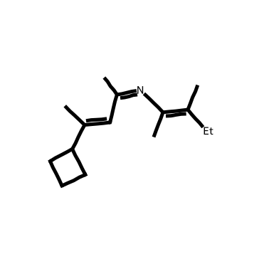 CC/C(C)=C(C)/N=C(C)\C=C(/C)C1CCC1